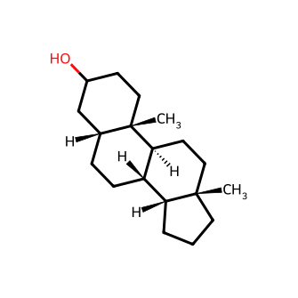 C[C@@]12CCC[C@@H]1[C@@H]1CC[C@@H]3CC(O)CC[C@]3(C)[C@H]1CC2